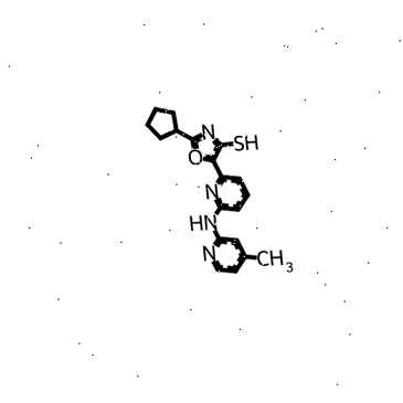 Cc1ccnc(Nc2cccc(-c3oc(C4CCCC4)nc3S)n2)c1